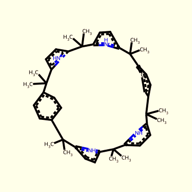 CC1(C)c2ccc(cc2)C(C)(C)c2ccc([nH]2)C(C)(C)c2ccc([nH]2)C(C)(C)c2ccc(cc2)C(C)(C)c2ccc([nH]2)C(C)(C)c2ccc1[nH]2